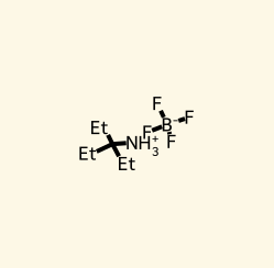 CCC([NH3+])(CC)CC.F[B-](F)(F)F